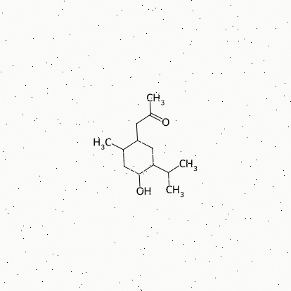 CC(=O)CC1CC(C(C)C)C(O)CC1C